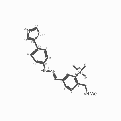 CNCc1ccc(C=NNc2ccc(-c3cnco3)cc2)c[c]1[Sn]([CH3])([CH3])[CH3]